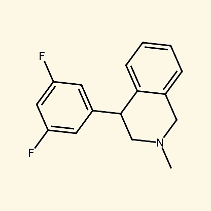 CN1Cc2ccccc2C(c2cc(F)cc(F)c2)C1